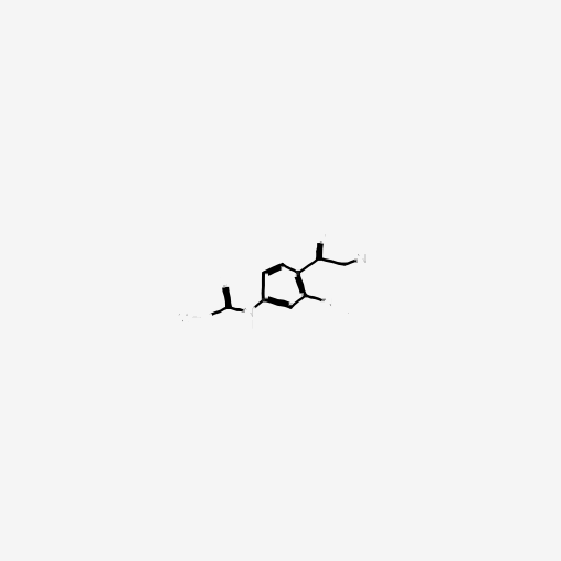 COC(=O)Nc1ccc(C(=O)CN)c([N+](=O)[O-])c1